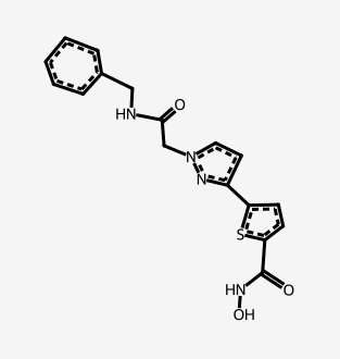 O=C(Cn1ccc(-c2ccc(C(=O)NO)s2)n1)NCc1ccccc1